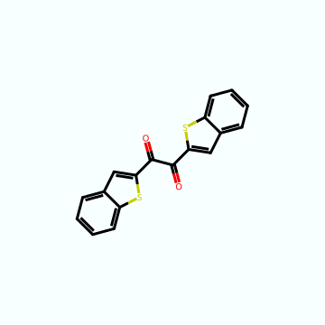 O=C(C(=O)c1cc2ccccc2s1)c1cc2ccccc2s1